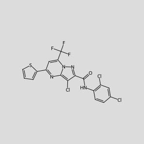 O=C(Nc1ccc(Cl)cc1Cl)c1nn2c(C(F)(F)F)cc(-c3cccs3)nc2c1Cl